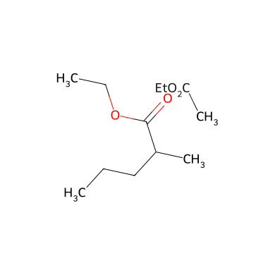 CCCC(C)C(=O)OCC.CCOC(C)=O